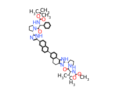 COC(=O)N[C@H](C(=O)N1CCC[C@H]1c1nc2c([nH]1)-c1ccc(-c3ccc4cc(-c5cnc([C@@H]6CCCN6C(=O)[C@H](NC(=O)OC(C)(C)C)c6ccccc6)[nH]5)ccc4c3)cc1CC2)C(C)C